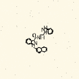 O=C(NCCc1nnc2ccccn12)c1nn(Cc2ccc3ccccc3c2)c2ccccc12